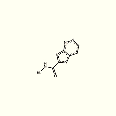 CCNC(=O)c1cc2ccnnc2s1